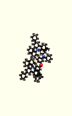 CC(C)c1cc2c3c(c1)N(c1c(-c4ccccc4)cc(-c4ccccc4)cc1-c1ccccc1)c1ccccc1B3c1cc3c(cc1N2c1ccccc1)Oc1cc(N2C4CC5CC(C4)CC2C5)cc2c1B3c1ccccc1N2c1c(-c2ccccc2)cc(-c2ccccc2)cc1-c1ccccc1